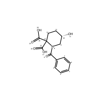 O=C(c1ccccc1)N1C[C@@H](O)CCC1(C(=O)O)C(=O)O